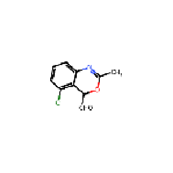 CC1=Nc2cccc(Cl)c2C(C=O)O1